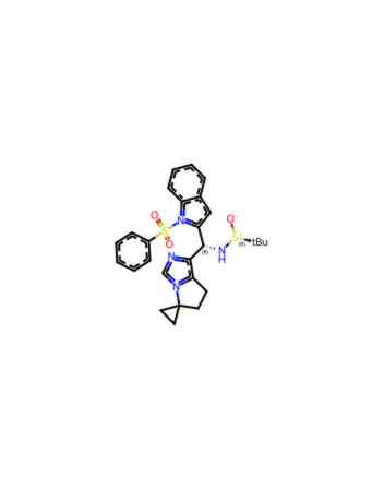 CC(C)(C)[S@+]([O-])N[C@H](c1ncn2c1CCC21CC1)c1cc2ccccc2n1S(=O)(=O)c1ccccc1